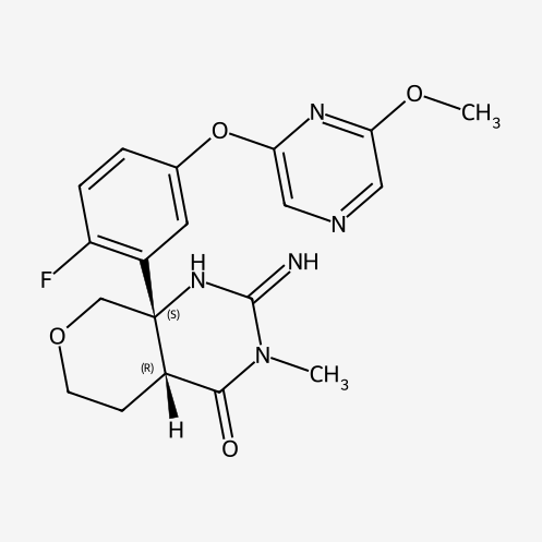 COc1cncc(Oc2ccc(F)c([C@]34COCC[C@H]3C(=O)N(C)C(=N)N4)c2)n1